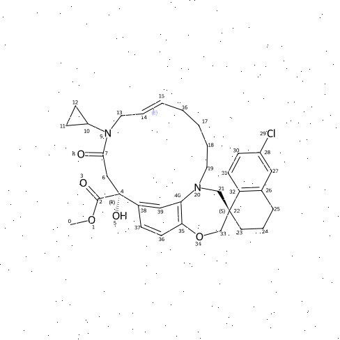 COC(=O)[C@@]1(O)CC(=O)N(C2CC2)C/C=C/CCCCN2C[C@@]3(CCCc4cc(Cl)ccc43)COc3ccc1cc32